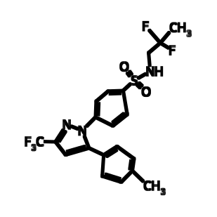 Cc1ccc(-c2cc(C(F)(F)F)nn2-c2ccc(S(=O)(=O)NCC(C)(F)F)cc2)cc1